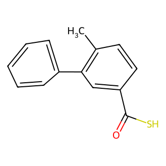 Cc1ccc(C(=O)S)cc1-c1ccccc1